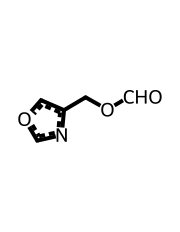 O=COCc1cocn1